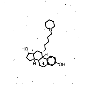 C=C[C@@]12CCc3cc(O)ccc3[C@H]1[C@@H](CCCCCN1CCCCC1)C[C@@]1(C)[C@H]2CC[C@@H]1O